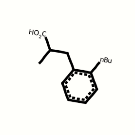 CCCCc1ccccc1CC(C)C(=O)O